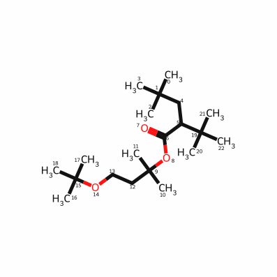 CC(C)(C)CC(C(=O)OC(C)(C)CCOC(C)(C)C)C(C)(C)C